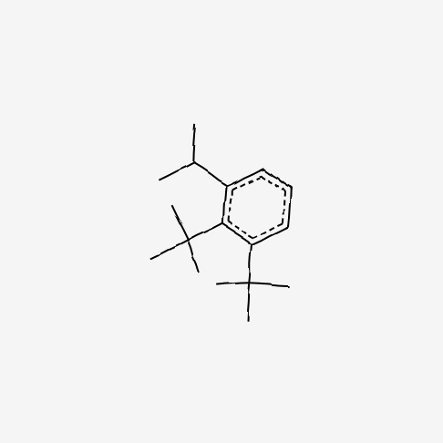 CC(C)c1cccc(C(C)(C)C)c1C(C)(C)C